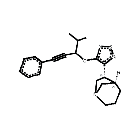 CC(C)C(C#Cc1ccccc1)Oc1nsnc1[C@H]1CN2CCC[C@H]1C2